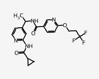 CC(NC(=O)c1ccc(OCCC(F)(F)F)nc1)c1ccnc(NC(=O)C2CC2)c1